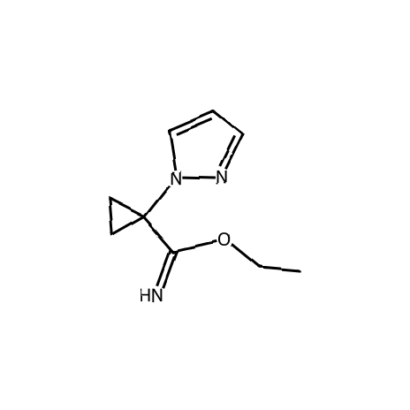 CCOC(=N)C1(n2cccn2)CC1